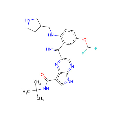 CC(C)(C)NC(=O)c1c[nH]c2ncc(C(=N)c3cc(OC(F)F)ccc3NCC3CCNC3)nc12